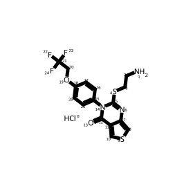 Cl.NCCSc1nc2cscc2c(=O)n1-c1ccc(OCC(F)(F)F)cc1